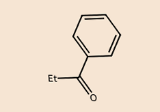 [CH2]CC(=O)c1ccccc1